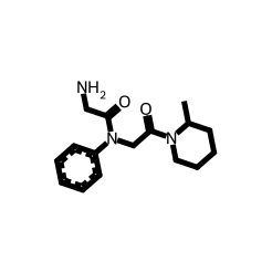 CC1CCCCN1C(=O)CN(C(=O)CN)c1ccccc1